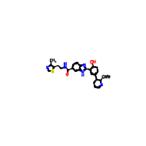 COc1ncccc1-c1ccc(O)c(-c2nc3ccc(C(=O)NCCc4scnc4C)cc3[nH]2)c1